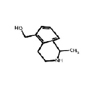 CC1NCCc2c(CO)cccc21